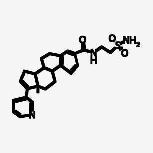 CC12CCC3c4ccc(C(=O)NCCS(N)(=O)=O)cc4CCC3C1CC=C2c1cccnc1